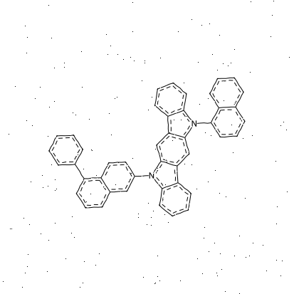 c1ccc(-c2cccc3cc(-n4c5ccccc5c5cc6c(cc54)c4ccccc4n6-c4cccc5ccccc45)ccc23)cc1